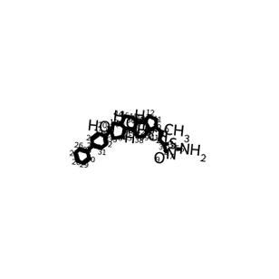 C[C@H](CC1SC(N)=NC1=O)C1CC[C@H]2[C@@H]3CC[C@@H]4C[C@](O)(c5ccc(-c6ccccc6)cc5)CC[C@]4(C)[C@H]3CC[C@]12C